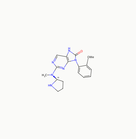 COc1ccccc1-n1c(=O)[nH]c2cnc(N(C)[C@H]3CCCN3)nc21